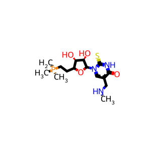 C=P(C)(C)CCC1OC(n2cc(CNC)c(=O)[nH]c2=S)[C@H](O)[C@@H]1O